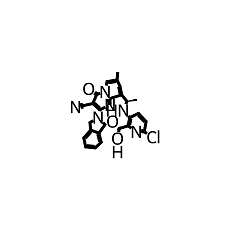 Cc1cc([C@@H](C)Nc2ccc(Cl)nc2C(=O)O)c2nc(N3Cc4ccccc4C3)c(C#N)c(=O)n2c1